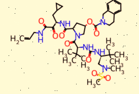 C=CCNC(=O)C(=O)C(CC1CC1)NC(=O)C1C[C@@H](OC(=O)N2CCc3ccccc3C2)CN1C(=O)[C@@H](NC(=O)N[C@H](CN(C)S(C)(=O)=O)C(C)(C)C)C(C)(C)C